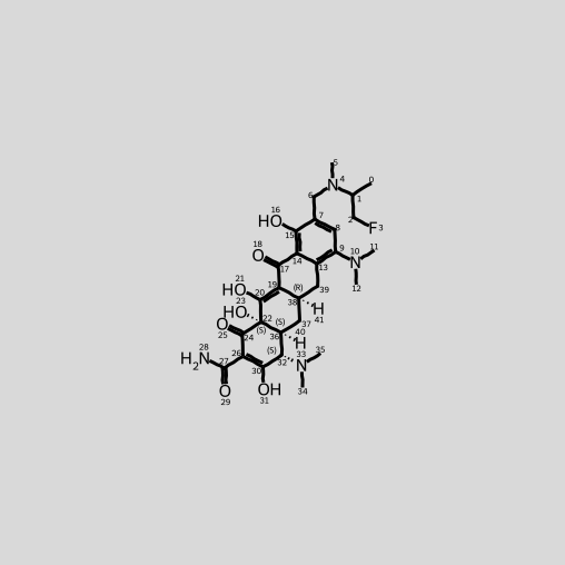 CC(CF)N(C)Cc1cc(N(C)C)c2c(c1O)C(=O)C1=C(O)[C@]3(O)C(=O)C(C(N)=O)=C(O)[C@@H](N(C)C)[C@@H]3C[C@@H]1C2